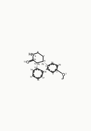 COc1ccc([C@H]2CCNC(=O)[C@H]2c2ccccc2)cc1